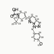 COc1ccc(Cn2ncc3ccc(C4=CCN(C(=O)O)C(C(C)(C)C)C4)nc32)cc1